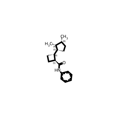 C[C@H]1[C@@H]([C@H]2CC[C@@H]2C(=O)Nc2ccccc2)CC[C@H]1C